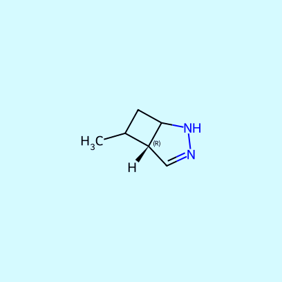 CC1CC2NN=C[C@H]12